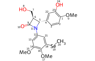 COc1ccc([C@H]2[C@H](CO)C(=O)N2c2cc(OC)c(OC)c([Se]C)c2)cc1O